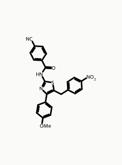 COc1ccc(-c2nc(NC(=O)c3ccc(C#N)cc3)sc2Cc2ccc([N+](=O)[O-])cc2)cc1